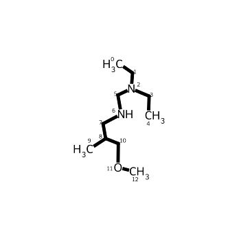 CCN(CC)CNCC(C)COC